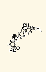 COc1ccc(-c2ccc(-n3cc(-c4cccc(C(=O)O)c4)nn3)cc2)c(OC)c1